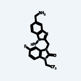 CCCn1c(Cn2c(=O)n(CC(F)(F)F)c3ccc(F)cc32)nc2cc(CN)ccc21